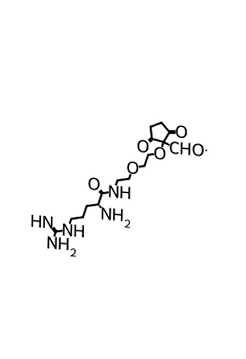 N=C(N)NCCC[C@H](N)C(=O)NCCOCCOC1([C]=O)C(=O)CCC1=O